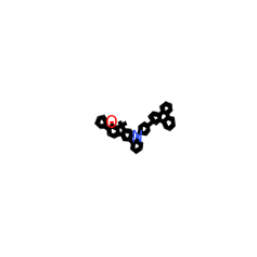 CC1(C)c2cc3c(cc2-c2ccc4c(oc5ccccc54)c21)c1ccccc1n3-c1ccc(-c2ccc3c4ccccc4c4ccccc4c3c2)cc1